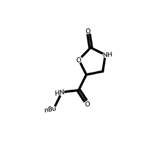 CCCCNC(=O)C1CNC(=O)O1